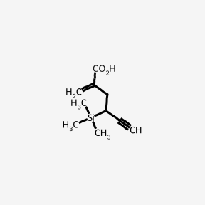 C#CC(CC(=C)C(=O)O)[Si](C)(C)C